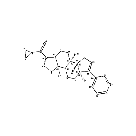 C[C@]12CCN(C(=O)C3CC3)C1CC[C@@H]1C2CC[C@]2(C)C(c3cccnc3)=CC[C@@H]12